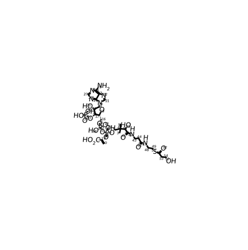 C=CC(=O)O.CC(C)(COP(=O)(O)OP(=O)(O)OC[C@H]1O[C@@H](n2cnc3c(N)ncnc32)[C@H](O)[C@@H]1OP(=O)(O)O)C(O)C(=O)NCCC(=O)NCCSC(=O)CCO